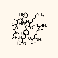 CC(C)C[C@H](N)C(=O)OC(=O)[C@@H](N)[C@@H](C)OC(=O)[C@@H]1CCCN1.N=C(N)NCCC[C@H](N)C(=O)O.NCCCC[C@H](N)C(=O)Oc1ccc(C[C@H](N)C(=O)O)cc1